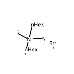 CCCCCC[N+](C)(C)CCCCCC.[Br-]